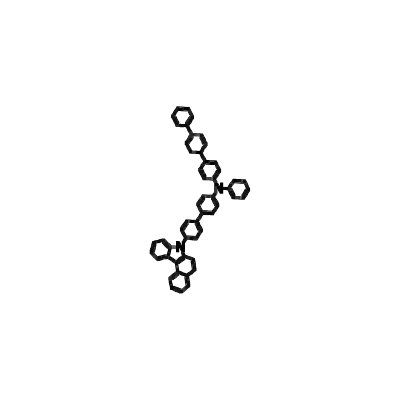 C1=CC(c2ccc(N(c3ccccc3)c3ccc(-c4ccc(-n5c6ccccc6c6c7ccccc7ccc65)cc4)cc3)cc2)CC=C1c1ccccc1